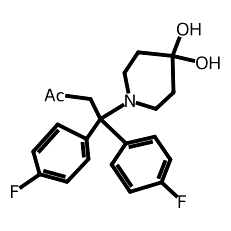 CC(=O)CC(c1ccc(F)cc1)(c1ccc(F)cc1)N1CCC(O)(O)CC1